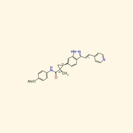 COc1ccc(NC(=O)[C@]2(C)C[C@H]2c2ccc3c(/C=C/c4ccncc4)n[nH]c3c2)cc1